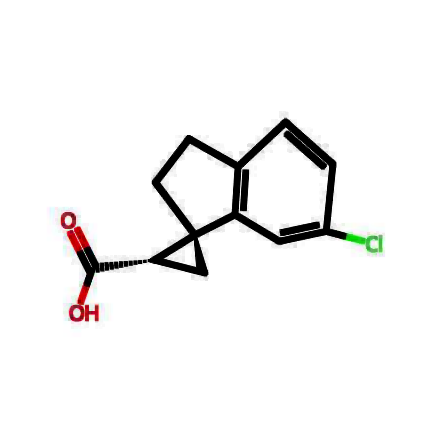 O=C(O)[C@H]1C[C@]12CCc1ccc(Cl)cc12